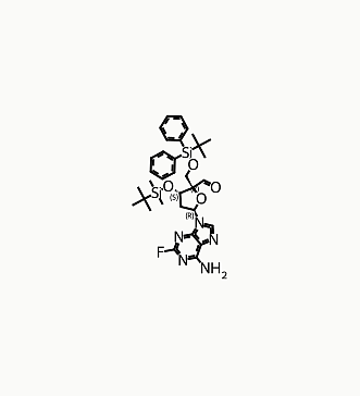 CC(C)(C)[Si](C)(C)O[C@H]1C[C@H](n2cnc3c(N)nc(F)nc32)O[C@]1(C=O)CO[Si](c1ccccc1)(c1ccccc1)C(C)(C)C